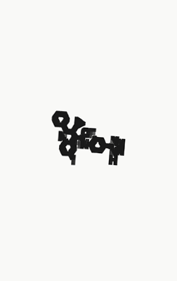 O=C(Nc1ccc(-c2nnn[nH]2)cc1F)c1c(C2CC2)c(-c2ccccc2)nc2ccc(I)cc12